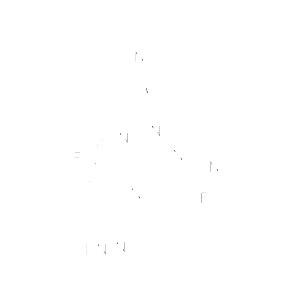 CCC1CN(c2nc(OC[C@@]34CCCN3C[C@H](F)C4)nc3c(C(F)(F)Cl)c(-c4cccc5[nH]ncc45)ncc23)CCN1